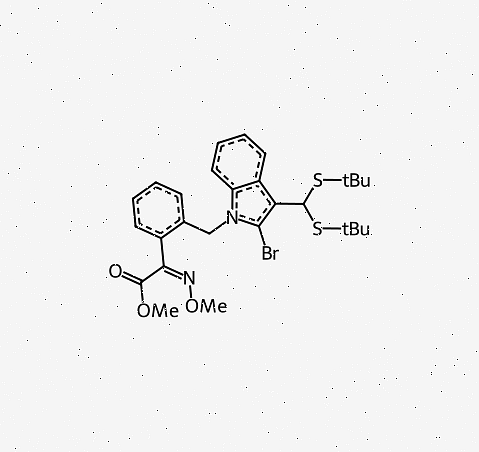 CON=C(C(=O)OC)c1ccccc1Cn1c(Br)c(C(SC(C)(C)C)SC(C)(C)C)c2ccccc21